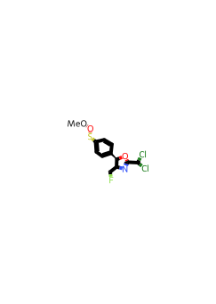 COOSc1ccc([C@H]2OC(C(Cl)Cl)=NC2CF)cc1